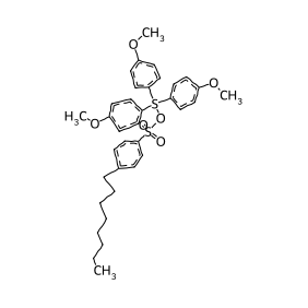 CCCCCCCCc1ccc(S(=O)(=O)OS(c2ccc(OC)cc2)(c2ccc(OC)cc2)c2ccc(OC)cc2)cc1